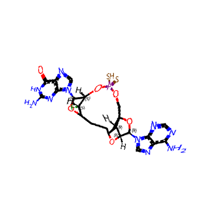 Nc1nc2c(ncn2[C@@H]2OC3CCC45O[C@@H]6[C@H]4C5(COP(=S)(S)O[C@@H]2[C@H]3F)O[C@H]6n2cnc3c(N)ncnc32)c(=O)[nH]1